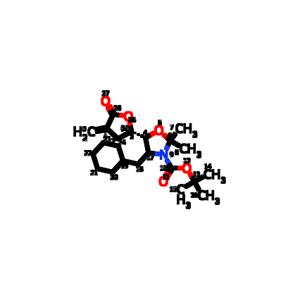 C=C1C[C@@H](C2OC(C)(C)N(C(=O)OC(C)(C)C)C2CC2CCCCC2)OC1=O